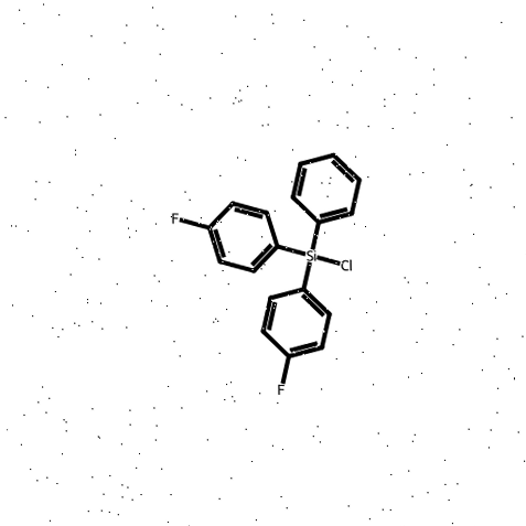 Fc1ccc([Si](Cl)(c2ccccc2)c2ccc(F)cc2)cc1